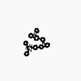 c1ccc(-c2nc(-c3ccccc3)nc(-c3ccc(-c4ccc5c6ccccc6n(-c6cccc(-c7ccc8c9ccccc9n(-c9ccccc9)c8c7)c6)c5c4)cc3)n2)cc1